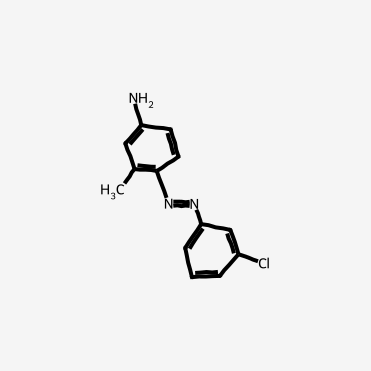 Cc1cc(N)ccc1N=Nc1cccc(Cl)c1